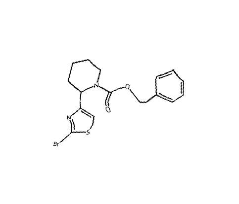 O=C(OCc1ccccc1)N1CCCCC1c1csc(Br)n1